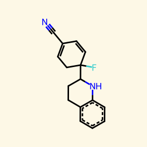 N#CC1=CCC(F)(C2CCc3ccccc3N2)C=C1